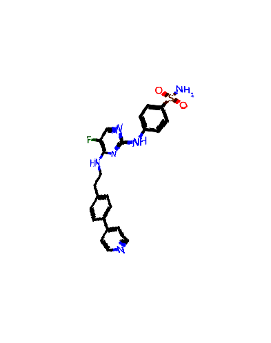 NS(=O)(=O)c1ccc(Nc2ncc(F)c(NCCc3ccc(-c4ccncc4)cc3)n2)cc1